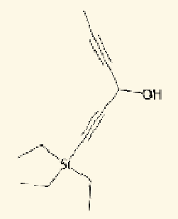 CC#CC(O)C#C[Si](CC)(CC)CC